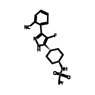 CC(C)S(=O)(=O)N[C@H]1CC[C@H](c2[nH]nc(-c3ccccc3C#N)c2F)CC1